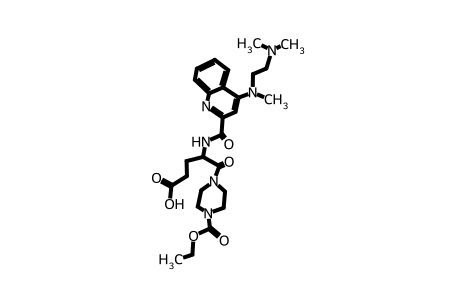 CCOC(=O)N1CCN(C(=O)C(CCC(=O)O)NC(=O)c2cc(N(C)CCN(C)C)c3ccccc3n2)CC1